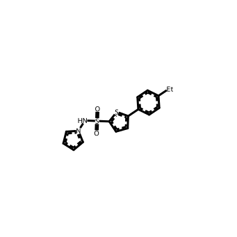 CCc1ccc(-c2ccc(S(=O)(=O)Nn3cccc3)s2)cc1